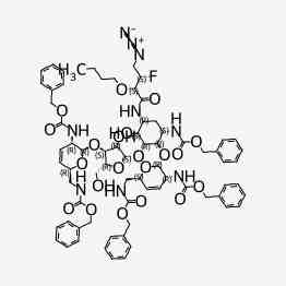 CCCCO[C@@H](C(=O)N[C@@H]1C[C@H](NC(=O)OCc2ccccc2)[C@@H](O[C@H]2O[C@H](CNC(=O)OCc3ccccc3)C=C[C@H]2NC(=O)OCc2ccccc2)[C@H](O[C@@H]2O[C@H](CO)[C@@H](O[C@H]3O[C@@H](CNC(=O)OCc4ccccc4)C=C[C@H]3NC(=O)OCc3ccccc3)[C@H]2O)[C@H]1O)[C@@H](F)CN=[N+]=[N-]